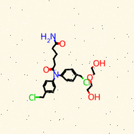 NC(=O)CCCCC(=O)N(c1ccc(CCl)cc1)c1ccc(CCl)cc1.OCCOCCO